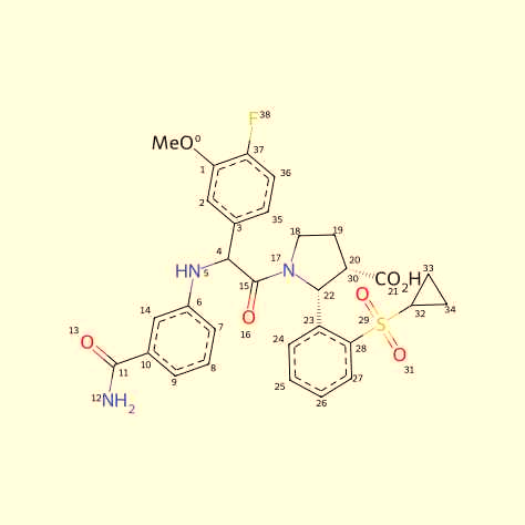 COc1cc(C(Nc2cccc(C(N)=O)c2)C(=O)N2CC[C@H](C(=O)O)[C@@H]2c2ccccc2S(=O)(=O)C2CC2)ccc1F